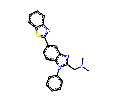 CN(C)Cc1nc2cc(-c3nc4ccccc4s3)ccc2n1-c1ccccc1